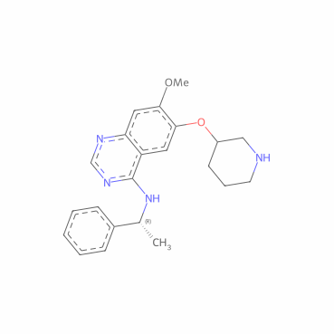 COc1cc2ncnc(N[C@H](C)c3ccccc3)c2cc1OC1CCCNC1